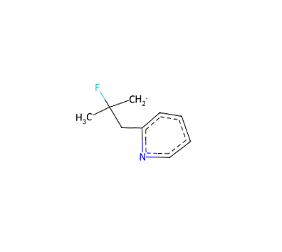 [CH2]C(C)(F)Cc1ccccn1